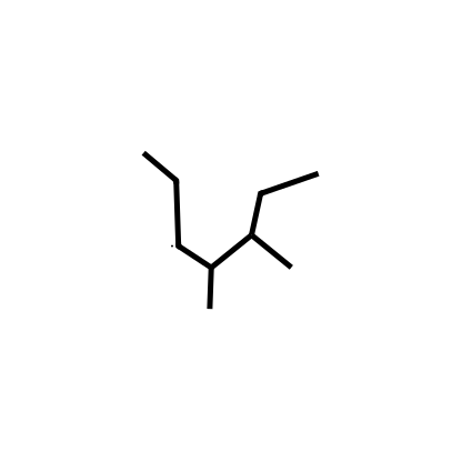 CC[CH]C(C)C(C)CC